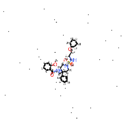 COc1ccccc1C(=O)NCC1(c2ccccc2)CCN(S(=O)(=O)NCCOc2ccccc2)CC1